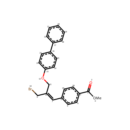 COC(=O)c1ccc(C=C(CBr)COc2ccc(-c3ccccc3)cc2)cc1